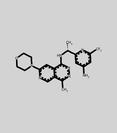 Cc1nnc(N[C@H](C)c2cc(N)cc(C(F)(F)F)n2)c2cc(N3CCOCC3)ncc12